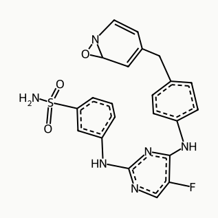 NS(=O)(=O)c1cccc(Nc2ncc(F)c(Nc3ccc(CC4=CC5ON5C=C4)cc3)n2)c1